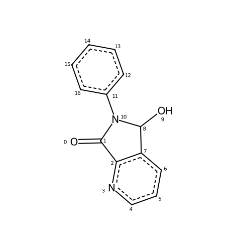 O=C1c2ncccc2C(O)N1c1ccccc1